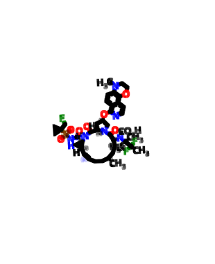 CC[C@@H]1C[C@H](C)CC/C=C\[C@@H]2C[C@@]2(C(=O)NS(=O)(=O)C2(CF)CC2)NC(=O)[C@@H]2C[C@@H](Oc3nccc4c5c(ccc34)N(C)CCO5)CN2C(=O)[C@H]1N(C(=O)O)C(C)(C)C(C)(F)F